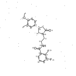 COc1ccc([C@@H]2CC(=O)N(CCNC(=O)c3cccc(F)c3F)C2)cc1C